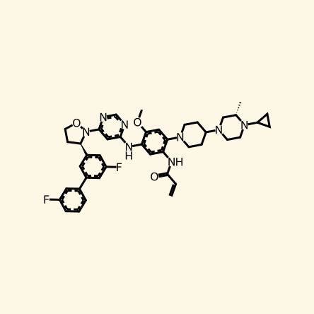 C=CC(=O)Nc1cc(Nc2cc(N3OCC[C@@H]3c3cc(F)cc(-c4cccc(F)c4)c3)ncn2)c(OC)cc1N1CCC(N2CCN(C3CC3)[C@@H](C)C2)CC1